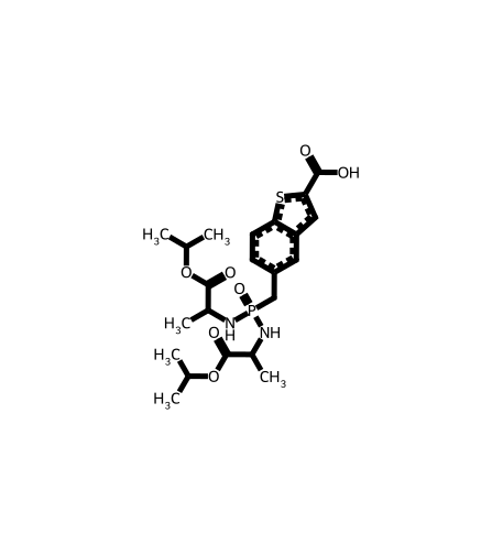 CC(C)OC(=O)C(C)NP(=O)(Cc1ccc2sc(C(=O)O)cc2c1)NC(C)C(=O)OC(C)C